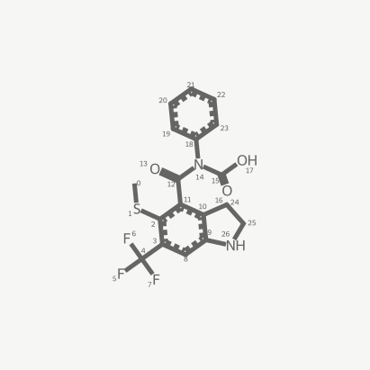 CSc1c(C(F)(F)F)cc2c(c1C(=O)N(C(=O)O)c1ccccc1)CCN2